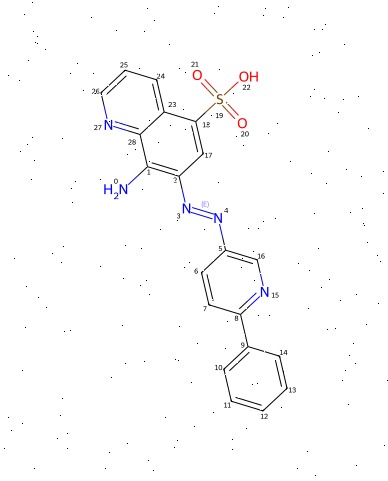 Nc1c(/N=N/c2ccc(-c3ccccc3)nc2)cc(S(=O)(=O)O)c2cccnc12